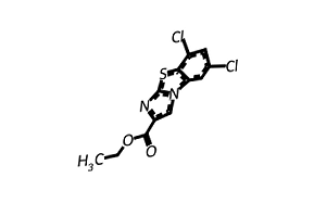 CCOC(=O)c1cn2c(n1)sc1c(Cl)cc(Cl)cc12